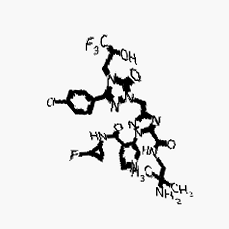 CC(C)(N)CNC(=O)c1nc(Cn2nc(-c3ccc(Cl)cc3)n(CC(O)C(F)(F)F)c2=O)nn1-c1cnccc1C(=O)NC1CC1F